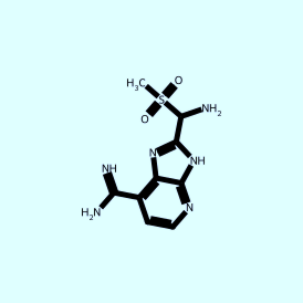 CS(=O)(=O)C(N)c1nc2c(C(=N)N)ccnc2[nH]1